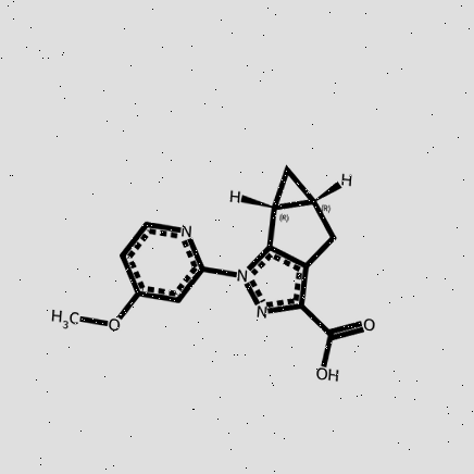 COc1ccnc(-n2nc(C(=O)O)c3c2[C@@H]2C[C@@H]2C3)c1